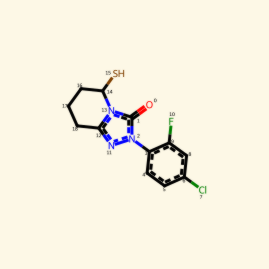 O=c1n(-c2ccc(Cl)cc2F)nc2n1C(S)CCC2